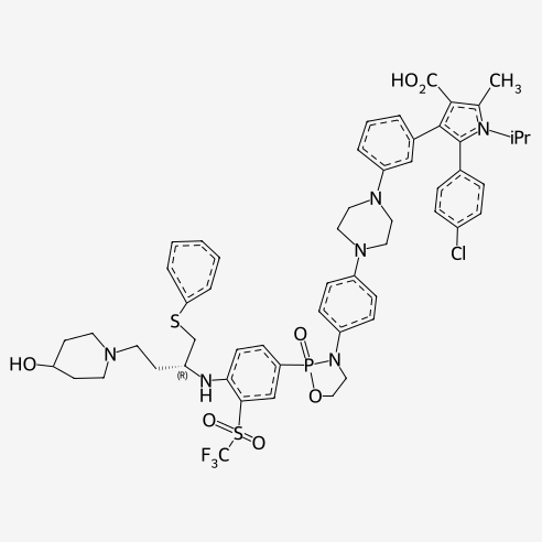 Cc1c(C(=O)O)c(-c2cccc(N3CCN(c4ccc(N5CCOP5(=O)c5ccc(N[C@H](CCN6CCC(O)CC6)CSc6ccccc6)c(S(=O)(=O)C(F)(F)F)c5)cc4)CC3)c2)c(-c2ccc(Cl)cc2)n1C(C)C